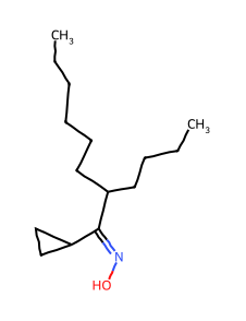 CCCCCCC(CCCC)/C(=N/O)C1CC1